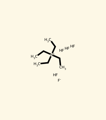 CC[N+](CC)(CC)CC.F.F.F.F.[F-]